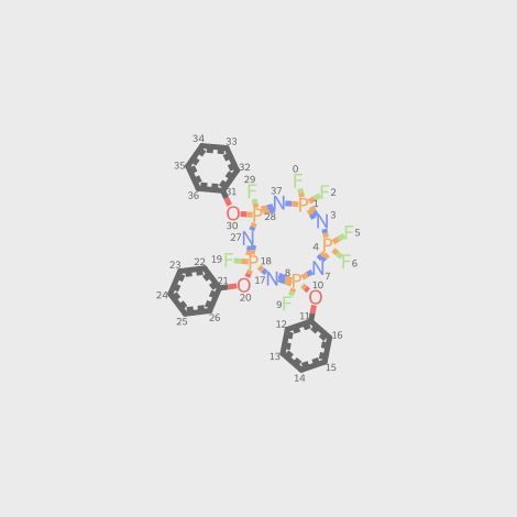 FP1(F)=NP(F)(F)=NP(F)(Oc2ccccc2)=NP(F)(Oc2ccccc2)=NP(F)(Oc2ccccc2)=N1